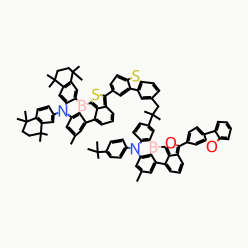 Cc1cc2c3c(c1)N(c1ccc(C(C)(C)C)cc1)c1ccc(C(C)(C)Cc4ccc5sc6ccc(-c7sc8c9c(cccc79)-c7cc(C)cc9c7B8c7cc8c(cc7N9c7ccc9c(c7)C(C)(C)CCC9(C)C)C(C)(C)CCC8(C)C)cc6c5c4)cc1B3c1oc(-c3ccc4c(c3)oc3ccccc34)c3cccc-2c13